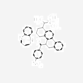 C1=CNc2ccccc2N=C1.CC(C1CCCc2c1ccc1c2C(C(=O)c2ccc([N+](=O)[O-])cc2)Cc2ccccc2-1)N(C)C